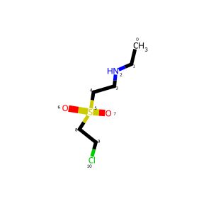 CCNCCS(=O)(=O)CCCl